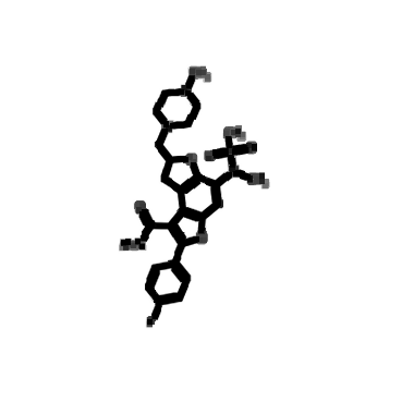 CNC(=O)c1c(-c2ccc(F)cc2)oc2cc(N(C)S(C)(=O)=O)c3c(c12)CC(CN1CCN(C)CC1)O3